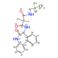 CC(C)(C(=O)NCC(F)(F)C(F)(F)F)C(=O)NC1C(=O)Nc2ccccc2-c2ccccc21